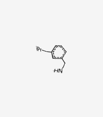 CC(C)c1cccc(C[NH])c1